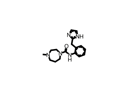 CN1CCCN(C(=O)Nc2ccccc2Cc2ncc[nH]2)CC1